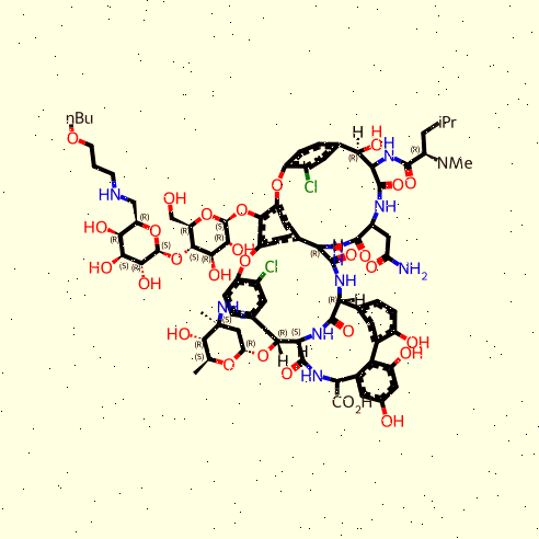 CCCCOCCCNC[C@H]1O[C@@H](O[C@H]2[C@H](O)[C@@H](O)[C@H](Oc3c4cc5cc3Oc3ccc(cc3Cl)[C@@H](O[C@H]3C[C@](C)(N)[C@@H](O)[C@H](C)O3)[C@@H]3NC(=O)[C@H](NC(=O)[C@@H]5NC(=O)C(CC(N)=O)NC(=O)C(NC(=O)[C@@H](CC(C)C)NC)[C@H](O)c5ccc(c(Cl)c5)O4)c4ccc(O)c(c4)-c4c(O)cc(O)cc4C(C(=O)O)NC3=O)O[C@@H]2CO)[C@H](O)[C@@H](O)[C@H]1O